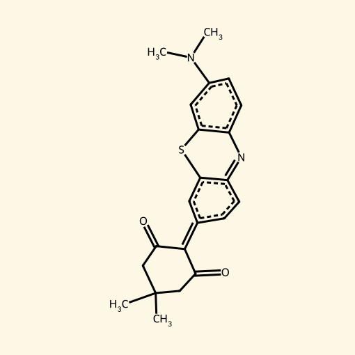 CN(C)c1ccc2c(c1)Sc1cc(=C3C(=O)CC(C)(C)CC3=O)ccc1=N2